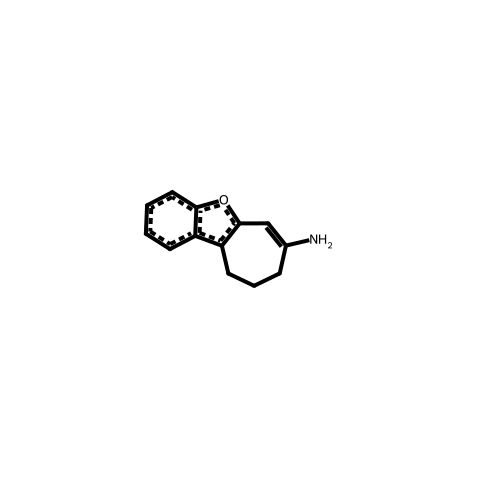 NC1=Cc2oc3ccccc3c2CCC1